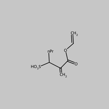 C=COC(=O)C(=C)C(CCC)S(=O)(=O)O